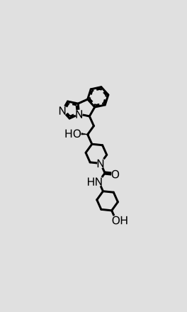 O=C(NC1CCC(O)CC1)N1CCC([C@@H](O)CC2c3ccccc3-c3cncn32)CC1